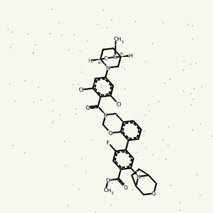 COC(=O)c1cc(F)c(-c2cccc3c2OCN(C(=O)c2c(Cl)cc(N4C[C@H]5CC[C@@H]4CN5C)cc2Cl)C3)cc1N1C2CCC1COC2